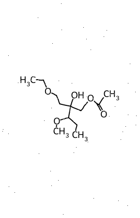 CCOCCC(O)(COC(C)=O)C(CC)OC